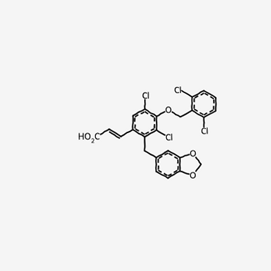 O=C(O)C=Cc1cc(Cl)c(OCc2c(Cl)cccc2Cl)c(Cl)c1Cc1ccc2c(c1)OCO2